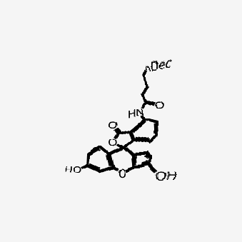 CCCCCCCCCCCCCC(=O)Nc1cccc2c1C(=O)OC21c2ccc(O)cc2Oc2cc(O)ccc21